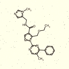 CCOCc1c(C(=O)NCc2cncn2C)cnn1-c1ncc(C)c(-c2ccccc2)n1